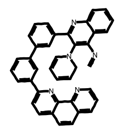 C=Nc1c(N2C=CC=CC2)c(-c2cccc(-c3cccc(-c4ccc5ccc6cccnc6c5n4)c3)c2)nc2ccccc12